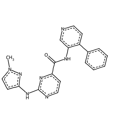 Cn1ccc(Nc2nccc(C(=O)Nc3cnccc3-c3ccccc3)n2)n1